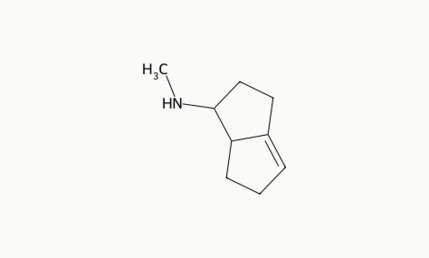 CNC1CCC2=CCCC21